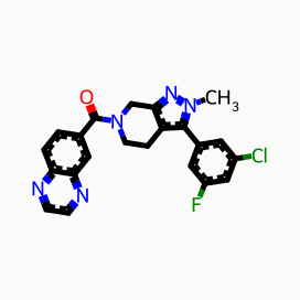 Cn1nc2c(c1-c1cc(F)cc(Cl)c1)CCN(C(=O)c1ccc3nccnc3c1)C2